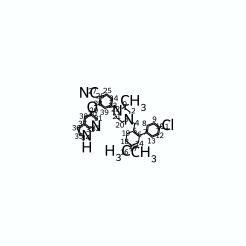 CC1CN(CC2=C(c3ccc(Cl)cc3)CC(C)(C)CC2)CCN1c1ccc(C#N)c(Oc2cnc3[nH]ccc3c2)c1